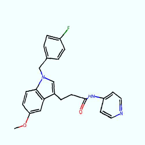 COc1ccc2c(c1)c(CCC(=O)Nc1ccncc1)cn2Cc1ccc(F)cc1